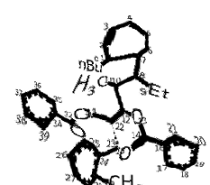 CCCCC1C=CC=CCC1C(CC)C(C)[C@@H](OC(=O)c1ccccc1)[C@H](Cc1ccccc1C)OC(=O)c1ccccc1